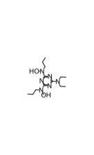 CCCN(O)c1nc(N(O)CCC)nc(N(CC)CC)n1